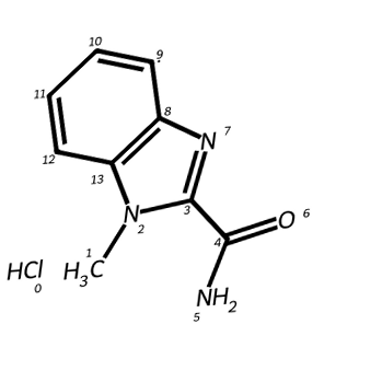 Cl.Cn1c(C(N)=O)nc2[c]cccc21